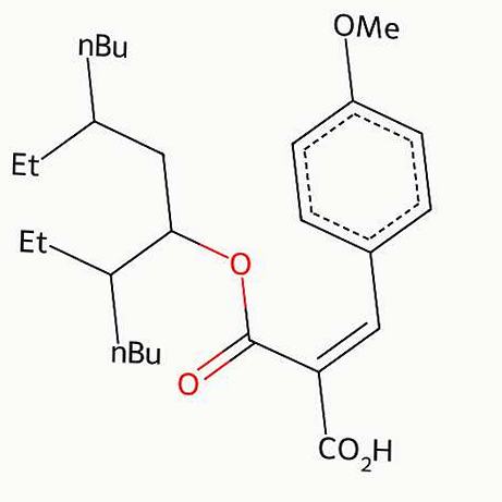 CCCCC(CC)CC(OC(=O)C(=Cc1ccc(OC)cc1)C(=O)O)C(CC)CCCC